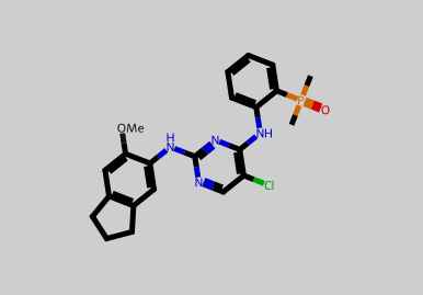 COc1cc2c(cc1Nc1ncc(Cl)c(Nc3ccccc3P(C)(C)=O)n1)CCC2